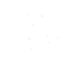 CCC(N)N(C(=O)c1sc2ccccc2c1Cl)C(CC)c1nc2ccccn2c(=O)c1Cc1ccccc1